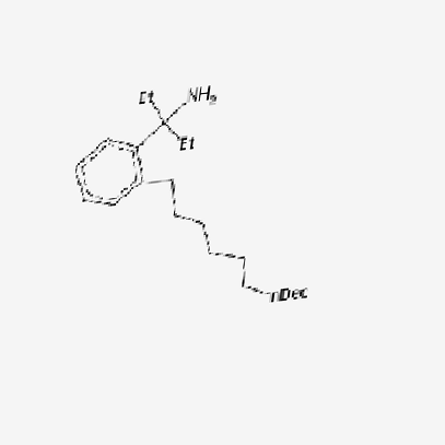 CCCCCCCCCCCCCCCCc1ccccc1C(N)(CC)CC